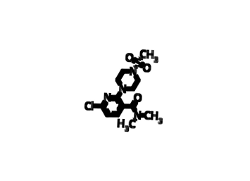 CN(C)C(=O)c1ccc(Cl)nc1N1CCN(S(C)(=O)=O)CC1